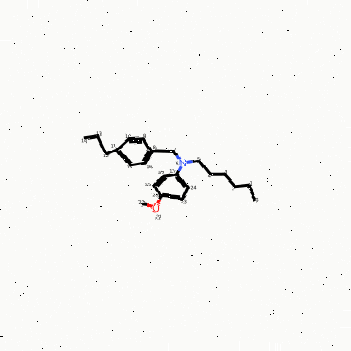 CCCCCCN(Cc1ccc(CCC)cc1)c1ccc(OC)cc1